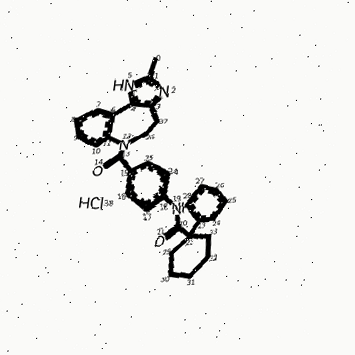 Cc1nc2c([nH]1)-c1ccccc1N(C(=O)c1ccc(NC(=O)C3(c4ccccc4)CCCCC3)cc1)CC2.Cl